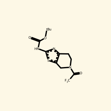 CC(C)(C)OC(=O)Nc1nc2c(s1)CN(C(=O)C(F)(F)F)CC2